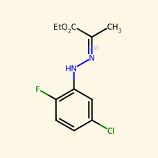 CCOC(=O)/C(C)=N\Nc1cc(Cl)ccc1F